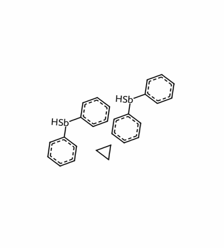 C1CC1.c1cc[c]([SbH][c]2ccccc2)cc1.c1cc[c]([SbH][c]2ccccc2)cc1